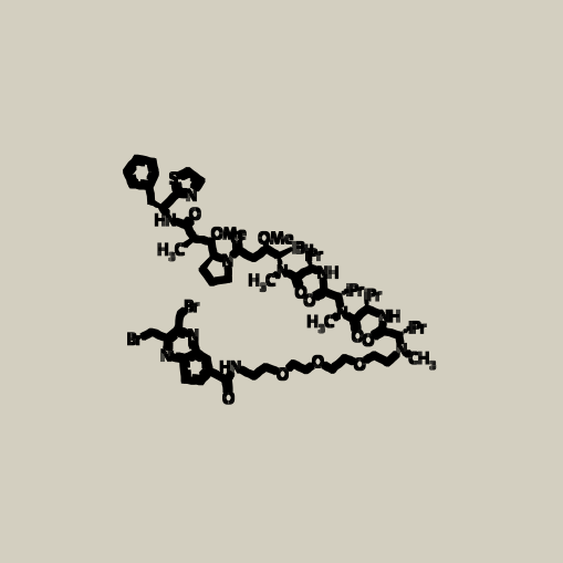 CC[C@H](C)[C@@H]([C@@H](CC(=O)N1CCC[C@H]1[C@H](OC)[C@@H](C)C(=O)N[C@@H](Cc1ccccc1)c1nccs1)OC)N(C)C(=O)[C@@H](NC(=O)[C@H](C(C)C)N(C)C(=O)[C@@H](NC(=O)[C@H](C(C)C)N(C)CCOCCOCCOCCNC(=O)c1ccc2nc(CBr)c(CBr)nc2c1)C(C)C)C(C)C